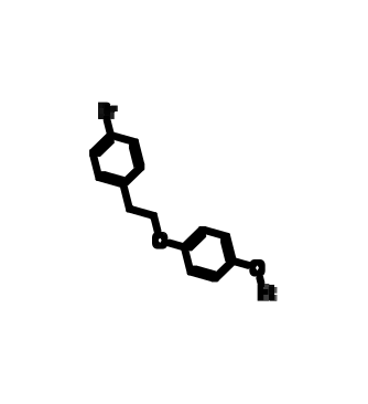 CCOc1ccc(OCCc2ccc(Br)cc2)cc1